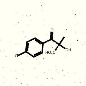 C[C@@](O)(C(=O)O)C(=O)c1ccc(Cl)cc1